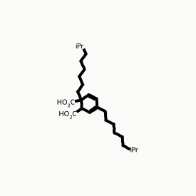 CC(C)CCCCCCC1=CC(C(=O)O)C(CCCCCCC(C)C)(C(=O)O)C=C1